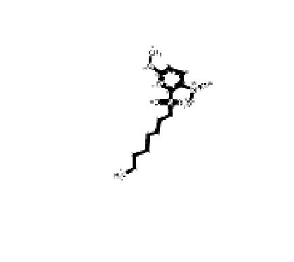 CCCCCCCCS(=O)(=O)c1nc(OC)ccc1[N+](=O)[O-]